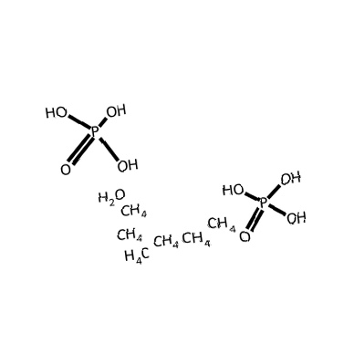 C.C.C.C.C.C.O.O=P(O)(O)O.O=P(O)(O)O